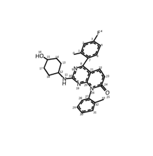 Cc1cc(F)ccc1-c1nc(NC2CCC(O)CC2)nc2c1ccc(=O)n2-c1ccccc1C